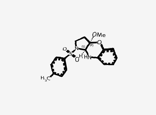 CO[C@@]12CCN(S(=O)(=O)c3ccc(C)cc3)[C@@H]1Nc1ccccc1O2